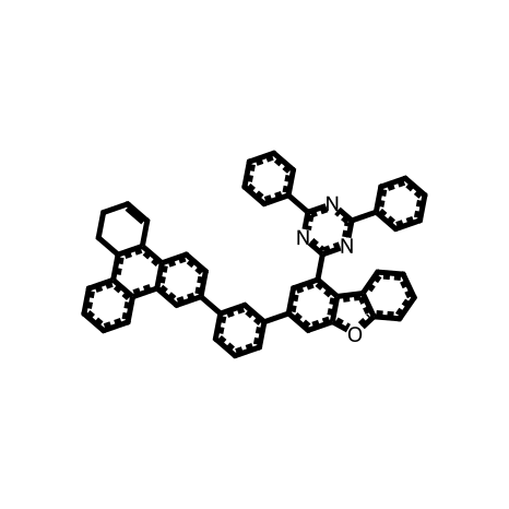 C1=Cc2c(c3ccccc3c3cc(-c4cccc(-c5cc(-c6nc(-c7ccccc7)nc(-c7ccccc7)n6)c6c(c5)oc5ccccc56)c4)ccc23)CC1